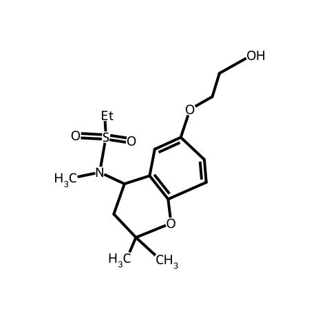 CCS(=O)(=O)N(C)C1CC(C)(C)Oc2ccc(OCCO)cc21